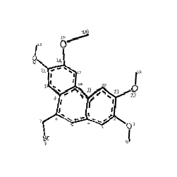 COc1cc2cc(CBr)c3cc(OC)c(OC)cc3c2cc1OC